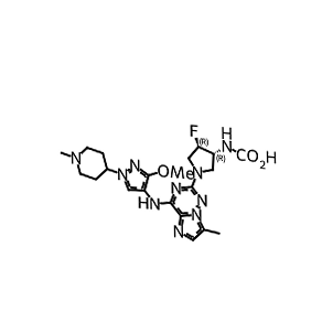 COc1nn(C2CCN(C)CC2)cc1Nc1nc(N2C[C@@H](F)[C@H](NC(=O)O)C2)nn2c(C)cnc12